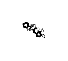 COc1ccc(/C=C(/NC(=O)c2ccccc2)C(=O)O)cc1OC